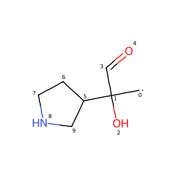 [CH2]C(O)(C=O)C1CCNC1